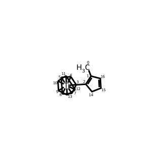 CC1=C([C]23[CH]4[CH]5[CH]6[CH]2[Ti]56432789[CH]3[CH]2[CH]7[CH]8[CH]39)CC=C1